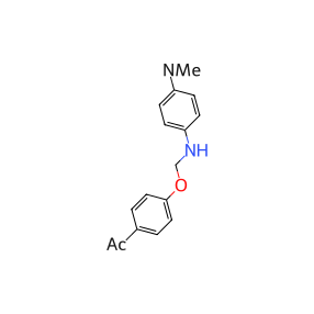 CNc1ccc(NCOc2ccc(C(C)=O)cc2)cc1